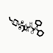 CCN1CCN(S(=O)(=O)c2sc(NC(=O)N(C3CCCCC3)C3CCCCC3)nc2C)CC1